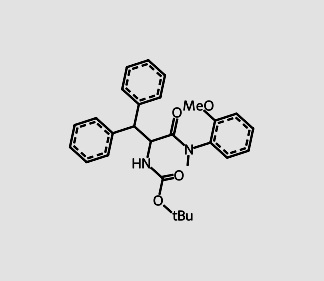 COc1ccccc1N(C)C(=O)C(NC(=O)OC(C)(C)C)C(c1ccccc1)c1ccccc1